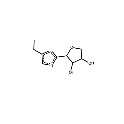 CCc1cnc(C2OCC(O)C2O)o1